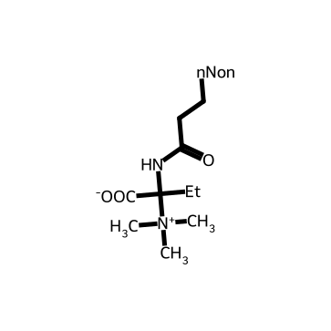 CCCCCCCCCCCC(=O)NC(CC)(C(=O)[O-])[N+](C)(C)C